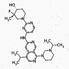 CC(C)c1cnc(N2CCCN(C(C)C)C2)c2cnc(Nc3ccnc(N4CC[C@@H](O)[C@@](C)(F)C4)n3)cc12